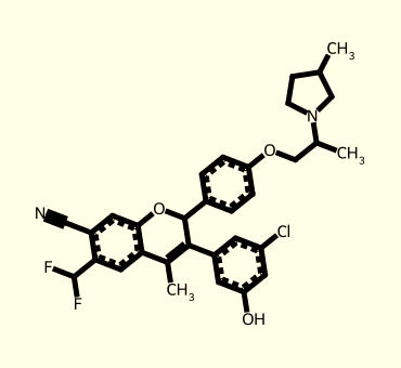 CC1=C(c2cc(O)cc(Cl)c2)C(c2ccc(OCC(C)N3CCC(C)C3)cc2)Oc2cc(C#N)c(C(F)F)cc21